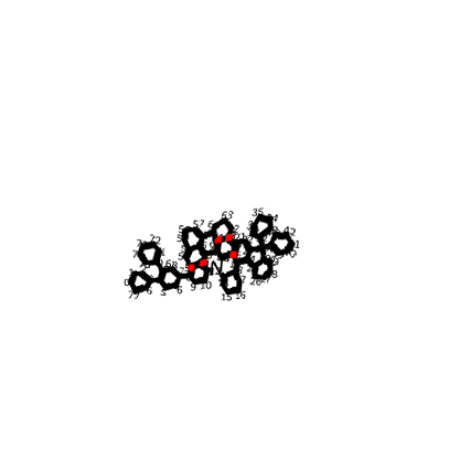 c1ccc(-c2ccc(-c3ccc(N(c4ccccc4-c4cccc5c4-c4ccccc4C5(c4ccccc4)c4ccccc4)c4ccccc4-c4cccc5cccc(C6CCCCC6)c45)cc3)cc2-c2ccccc2)cc1